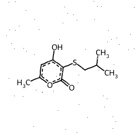 Cc1cc(O)c(SCC(C)C)c(=O)o1